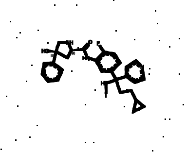 O=C(Nc1cc(C(CCC2CC2)(NI)c2ccncc2)ccc1F)[C@H]1C[C@](O)(c2ccccc2)CN1